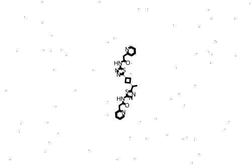 CC(c1nnc(NC(=O)Cc2ccccn2)s1)[C@H]1C[C@@H](c2nnc(NC(=O)Cc3ccccn3)s2)C1